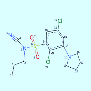 CCCN(C#N)S(=O)(=O)c1cc(Cl)cc(N2CCCC2)c1Cl